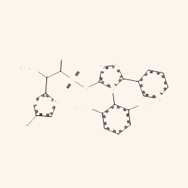 COc1cccc(OC)c1-n1c(NS(=O)(=O)C(C)C(OC)c2ncc(Cl)s2)nnc1-c1cccnc1